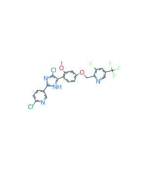 COc1cc(OCc2ncc(C(F)(F)F)cc2F)ccc1-c1[nH]c(-c2ccc(Cl)nc2)nc1Cl